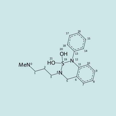 CNCCCN1Cc2ccccc2N(c2ccccc2)S1(O)O